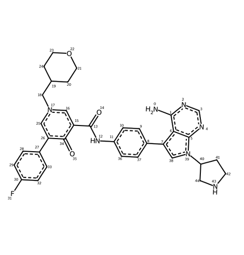 Nc1ncnc2c1c(-c1ccc(NC(=O)c3cn(CC4CCOCC4)cc(-c4ccc(F)cc4)c3=O)cc1)cn2C1CCNC1